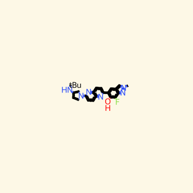 Cn1cc2cc(-c3ccc4nc(N5CCC(NC(C)(C)C)C5)ccc4n3)c(O)c(F)c2n1